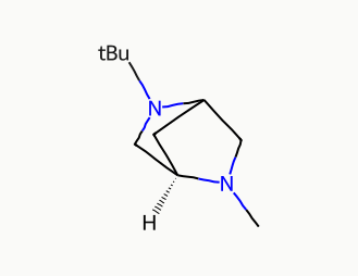 CN1CC2C[C@@H]1CN2C(C)(C)C